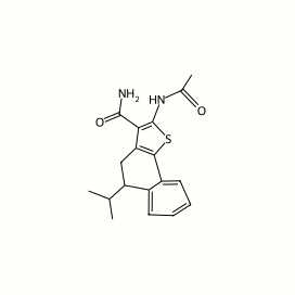 CC(=O)Nc1sc2c(c1C(N)=O)CC(C(C)C)c1ccccc1-2